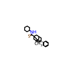 C[C@]12CC3CC(C(=S)NC4CCCCC4)(C1)C[C@@](c1ccccc1)(C3)C2